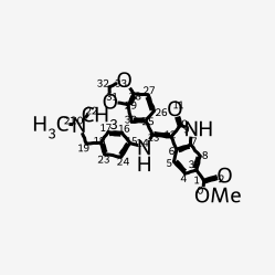 COC(=O)c1ccc2c(c1)NC(=O)C2=C(Nc1ccc(CN(C)C)cc1)c1ccc2c(c1)OCO2